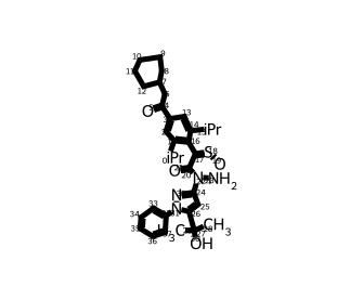 CC(C)c1cc(C(=O)CC2CCCCC2)cc(C(C)C)c1C(=S=O)C(=O)N(N)c1cc(C(C)(C)O)n(-c2ccccc2)n1